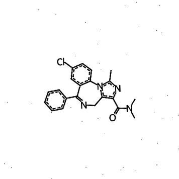 Cc1nc(C(=O)N(C)C)c2n1-c1ccc(Cl)cc1C(c1ccccc1)=NC2